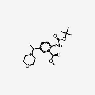 COC(=O)c1cc(C(C)N2CCOCC2)ccc1NC(=O)OC(C)(C)C